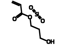 C=CC(=O)OCCCO.O=[Si]=O